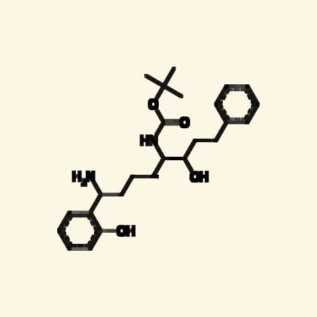 CC(C)(C)OC(=O)NC([CH]CCC(N)c1ccccc1O)C(O)CCc1ccccc1